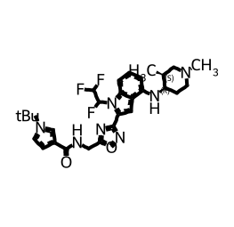 C[C@H]1CN(C)CC[C@H]1Nc1cccc2c1cc(-c1noc(CNC(=O)c3ccn(C(C)(C)C)c3)n1)n2C(F)C(F)F